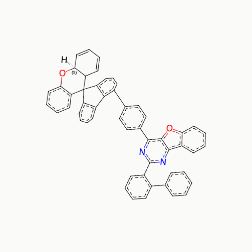 C1=CC2[C@H](C=C1)Oc1ccccc1C21c2ccccc2-c2c(-c3ccc(-c4nc(-c5ccccc5-c5ccccc5)nc5c4oc4ccccc45)cc3)cccc21